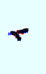 O=C(O[C@H](Cc1ccc2[nH]ncc2c1)C(=O)N1CCC(c2ccncc2)CC1)N1CCC(N2CCc3ccccc3NC2=O)CC1